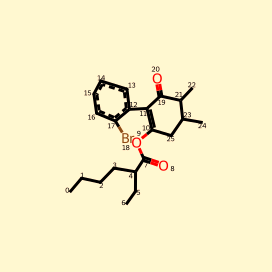 CCCCC(CC)C(=O)OC1=C(c2ccccc2Br)C(=O)C(C)C(C)C1